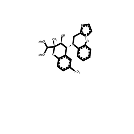 COC(OC)[C@@]1(C)Oc2ccc([N+](=O)[O-])cc2[C@@H](N(Cc2ncc[nH]2)c2ccccc2C(C)C)[C@@H]1O